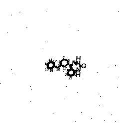 O=C1NN=C(C2CCCC(Cc3ccccc3)C2)c2ccccc2N1